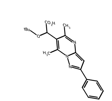 Cc1nc2cc(-c3ccccc3)nn2c(C)c1C(OC(C)(C)C)C(=O)O